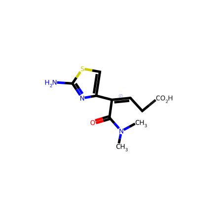 CN(C)C(=O)/C(=C\CC(=O)O)c1csc(N)n1